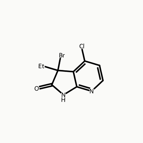 CCC1(Br)C(=O)Nc2nccc(Cl)c21